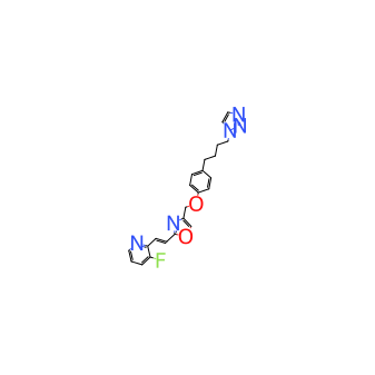 Fc1cccnc1C=Cc1nc(COc2ccc(CCCCn3ccnn3)cc2)co1